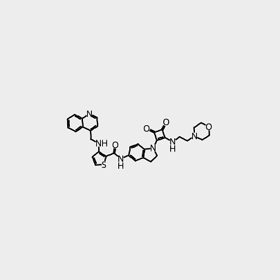 O=C(Nc1ccc2c(c1)CCN2c1c(NCCN2CCOCC2)c(=O)c1=O)c1sccc1NCc1ccnc2ccccc12